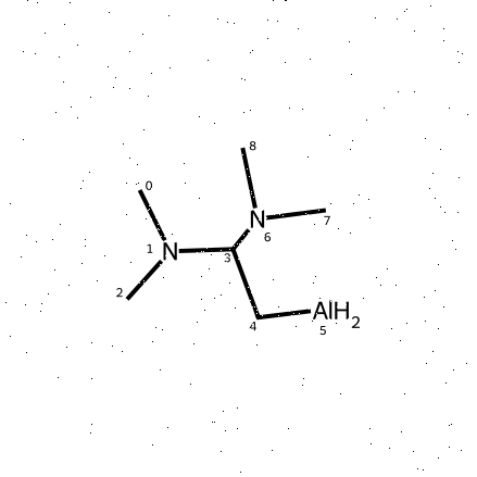 CN(C)C([CH2][AlH2])N(C)C